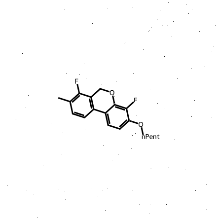 CCCCCOc1ccc2c(c1F)OCc1c-2ccc(C)c1F